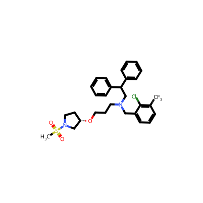 CS(=O)(=O)N1CC[C@H](OCCCN(Cc2cccc(C(F)(F)F)c2Cl)CC(c2ccccc2)c2ccccc2)C1